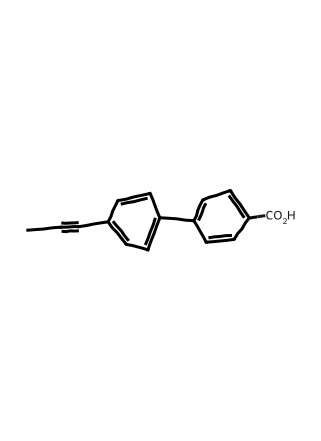 CC#Cc1ccc(-c2ccc(C(=O)O)cc2)cc1